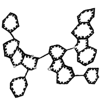 c1ccc(-c2ccc3oc4c(-c5ccccc5)nc(-c5ccc(-n6c7ccccc7c7cc8ccccc8cc76)c6c5oc5ccc(-c7ccccc7)cc56)nc4c3c2)cc1